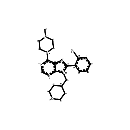 CN1CCN(c2ncnc3c2nc(-c2ccccc2Cl)n3CC2CCOCC2)CC1